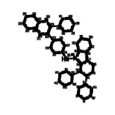 c1ccc(-c2ccc3c4ccccc4n(Nc4ccc(-c5nc6ccccc6nc5-c5ccccc5)cc4)c3c2-c2ccccc2)cc1